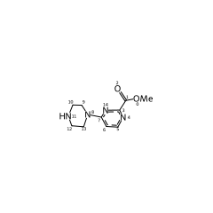 COC(=O)c1nccc(N2CCNCC2)n1